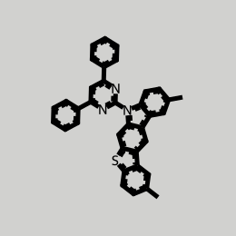 Cc1ccc2sc3cc4c(cc3c2c1)c1cc(C)ccc1n4-c1nc(-c2ccccc2)cc(-c2ccccc2)n1